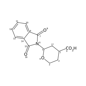 O=C(O)C1CCOC(N2C(=O)c3ccccc3C2=O)C1